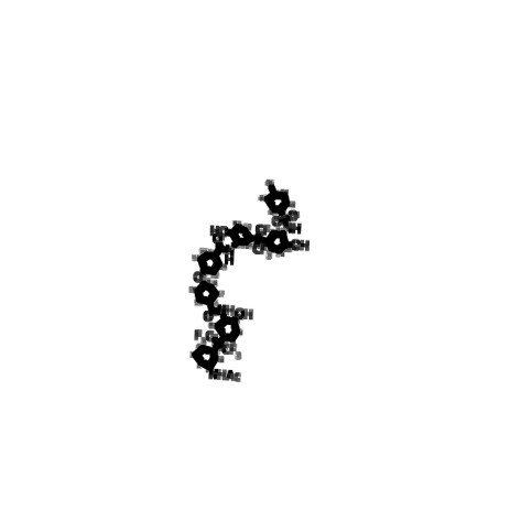 CC(=O)Nc1cccc(C(c2ccc(O)c(NC(=O)c3ccc(Oc4ccc(C(=O)Nc5cc(C(c6ccc(O)c(NS(=O)(=O)c7ccc(C)cc7)c6)(C(F)(F)F)C(F)(F)F)ccc5O)cc4)cc3)c2)(C(F)(F)F)C(F)(F)F)c1